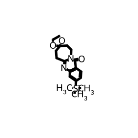 C[Si](C)(C)c1ccc2c(=O)n3c(nc2c1)CCC1(CC3)OCCO1